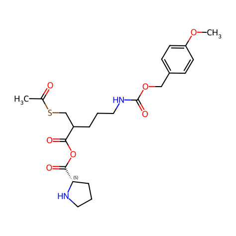 COc1ccc(COC(=O)NCCCC(CSC(C)=O)C(=O)OC(=O)[C@@H]2CCCN2)cc1